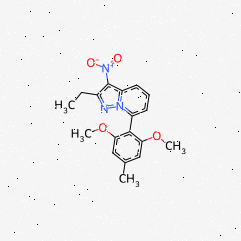 CCc1nn2c(-c3c(OC)cc(C)cc3OC)cccc2c1[N+](=O)[O-]